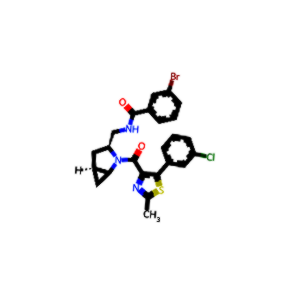 Cc1nc(C(=O)N2C3C[C@H]3C[C@H]2CNC(=O)c2cccc(Br)c2)c(-c2cccc(Cl)c2)s1